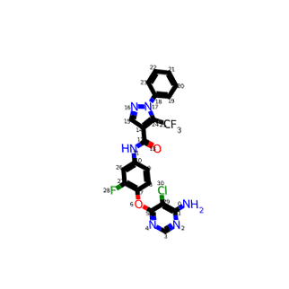 Nc1ncnc(Oc2ccc(NC(=O)c3cnn(-c4ccccc4)c3C(F)(F)F)cc2F)c1Cl